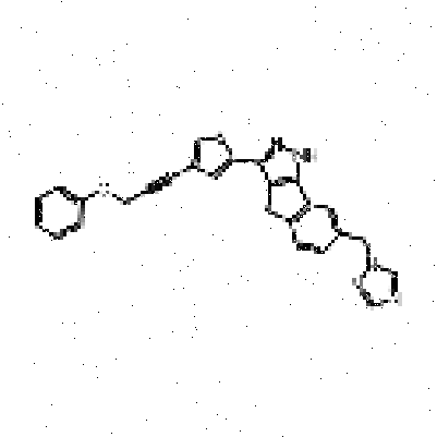 C(#Cc1csc(-c2n[nH]c3c2Cc2ccc(Cn4cncn4)cc2-3)c1)COc1ccccc1